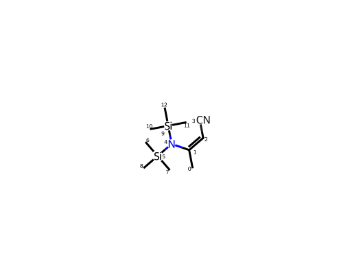 CC(=CC#N)N([Si](C)(C)C)[Si](C)(C)C